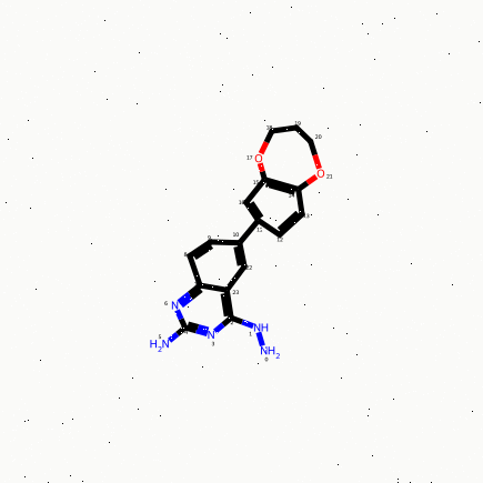 NNc1nc(N)nc2ccc(-c3ccc4c(c3)OCCCO4)cc12